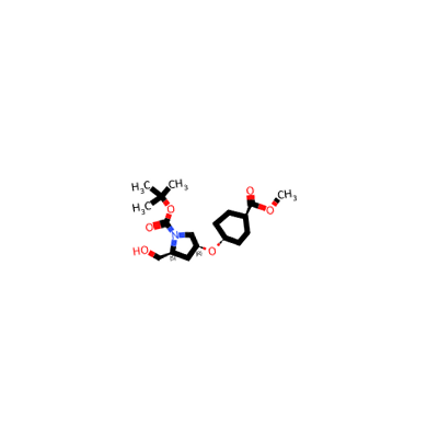 COC(=O)[C@H]1CC[C@H](O[C@@H]2C[C@@H](CO)N(C(=O)OC(C)(C)C)C2)CC1